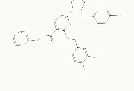 COC(=O)/C=C\C(=O)O[C@H]1CCCN1c1ncc(C(=O)NCc2ncccn2)c(NCc2ccc(OC)c(Cl)c2)n1